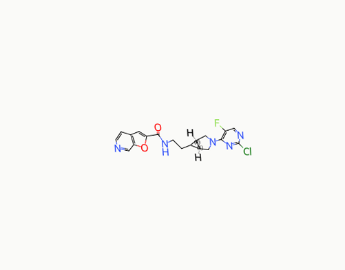 O=C(NCCC1[C@H]2CN(c3nc(Cl)ncc3F)C[C@@H]12)c1cc2ccncc2o1